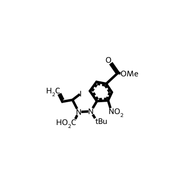 C=CC(I)N(C(=O)O)N(c1ccc(C(=O)OC)cc1[N+](=O)[O-])C(C)(C)C